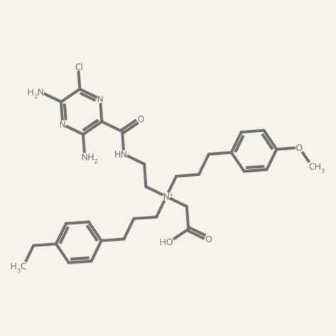 CCc1ccc(CCC[N+](CCCc2ccc(OC)cc2)(CCNC(=O)c2nc(Cl)c(N)nc2N)CC(=O)O)cc1